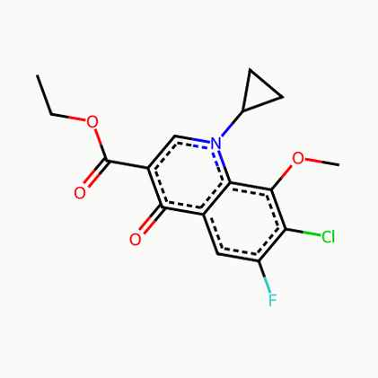 CCOC(=O)c1cn(C2CC2)c2c(OC)c(Cl)c(F)cc2c1=O